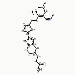 C/C=C\C(OC(C)C)=C(\N)CCc1nnc(-n2cc3c(n2)CCN(CCC(=O)O)C3)s1